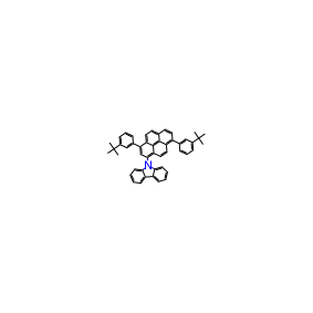 CC(C)(C)c1cccc(-c2ccc3ccc4c(-c5cccc(C(C)(C)C)c5)cc(-n5c6ccccc6c6ccccc65)c5ccc2c3c45)c1